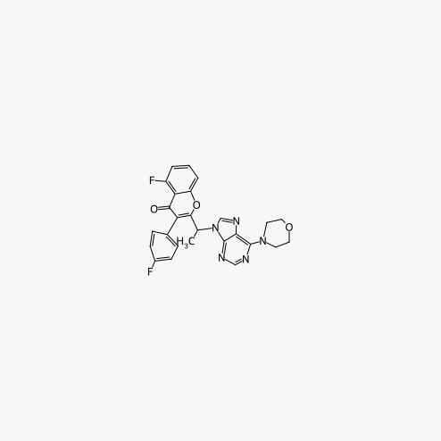 CC(c1oc2cccc(F)c2c(=O)c1-c1ccc(F)cc1)n1cnc2c(N3CCOCC3)ncnc21